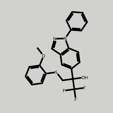 COc1ccccc1SCC(O)(c1ccc2c(cnn2-c2ccccc2)c1)C(F)(F)F